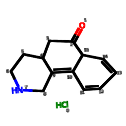 Cl.O=C1CC2CCNCC2=C2C=CC=CC12